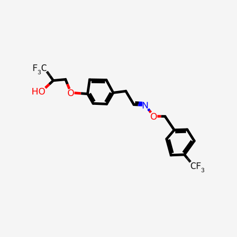 OC(COc1ccc(CC=NOCc2ccc(C(F)(F)F)cc2)cc1)C(F)(F)F